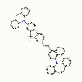 CC1(C)c2cc(/C=C/c3ccc(N4c5ccccc5C=Cc5ccccc54)c4ccccc34)ccc2-c2ccc(N3c4ccccc4Cc4ccccc43)cc21